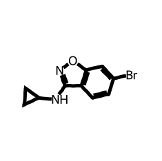 Brc1ccc2c(NC3CC3)noc2c1